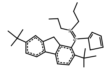 CCC[Si](CCC)=[Zr]([C]1=CC=CC1)[c]1c(C(C)(C)C)ccc2c1Cc1cc(C(C)(C)C)ccc1-2